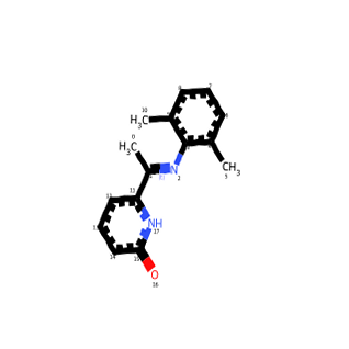 C/C(=N\c1c(C)cccc1C)c1cccc(=O)[nH]1